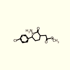 COC(=O)CC1CCC(c2ccc(Cl)cc2)N(N)C1=O